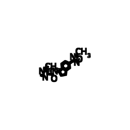 Cc1nc(-c2ccc3c(c2)CCC3NC(=O)c2ncnn2C)no1